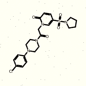 O=C(Cn1cc(S(=O)(=O)N2CCCC2)ccc1=O)N1CCN(c2ccc(Cl)cc2)CC1